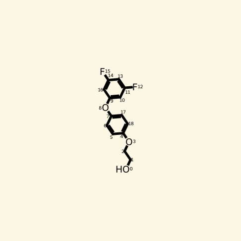 OCCOc1ccc(Oc2cc(F)cc(F)c2)cc1